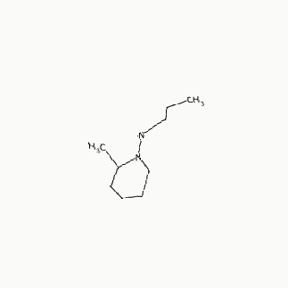 CCC[N]N1CCCCC1C